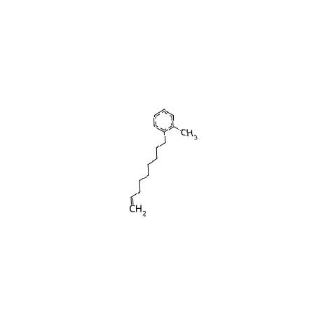 C=CCCCCCCCc1ccccc1C